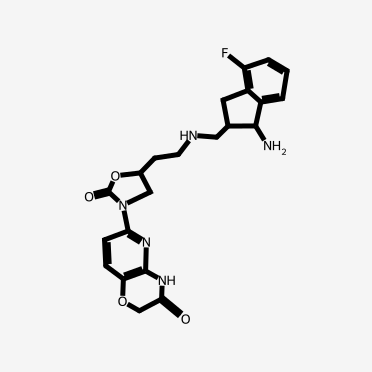 NC1c2cccc(F)c2CC1CNCCC1CN(c2ccc3c(n2)NC(=O)CO3)C(=O)O1